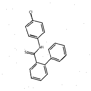 S=C(Nc1ccc(Cl)cc1)c1ccccc1-c1ccccc1